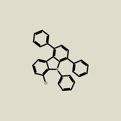 Clc1cccc2c3c(-c4ccccc4)ccc(-c4ccccc4)c3n(-c3ccccc3)c12